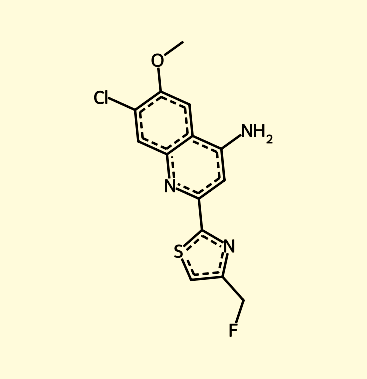 COc1cc2c(N)cc(-c3nc(CF)cs3)nc2cc1Cl